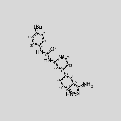 CC(C)(C)c1ccc(NC(=O)Nc2cc(-c3ccc4[nH]nc(N)c4c3)ccn2)cc1